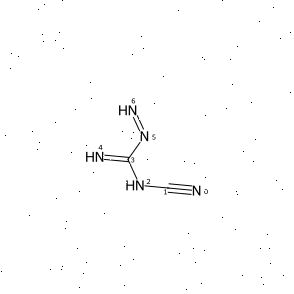 N#CNC(=N)N=N